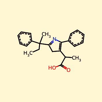 CCC(C)(C1=NC(c2ccccc2)=C(C(C)C(=O)O)C1)c1ccccc1